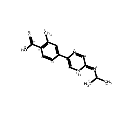 Cc1cc(-c2c[nH]/c(=N\C(C)N)cn2)ccc1C(=O)O